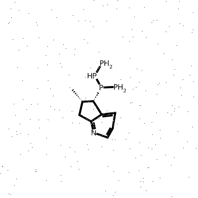 C[C@H]1Cc2ncccc2[C@H]1P(P)PP